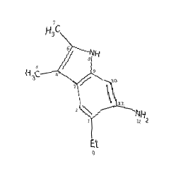 CCc1cc2c(C)c(C)[nH]c2cc1N